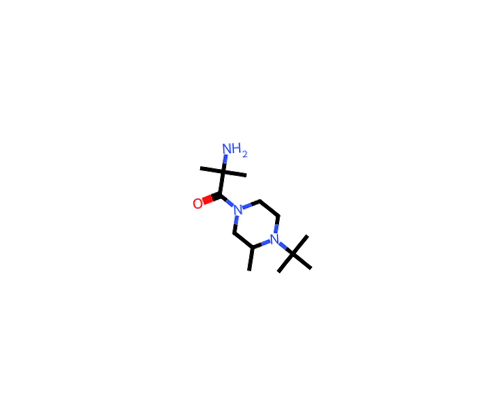 CC1CN(C(=O)C(C)(C)N)CCN1C(C)(C)C